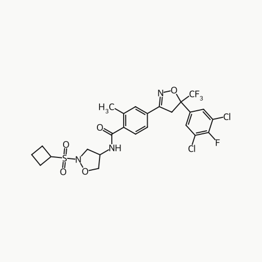 Cc1cc(C2=NOC(c3cc(Cl)c(F)c(Cl)c3)(C(F)(F)F)C2)ccc1C(=O)NC1CON(S(=O)(=O)C2CCC2)C1